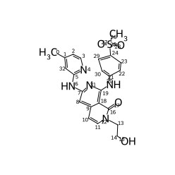 Cc1ccnc(Nc2cc3ccn(CCO)c(=O)c3c(Nc3ccc(S(C)(=O)=O)cc3)n2)c1